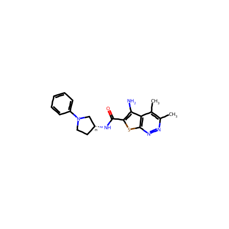 Cc1nnc2sc(C(=O)N[C@@H]3CCN(c4ccccc4)C3)c(N)c2c1C